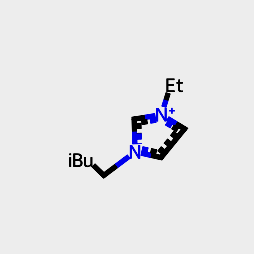 CCC(C)Cn1cc[n+](CC)c1